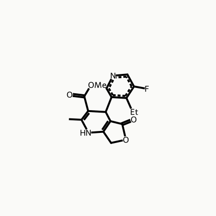 CCc1c(F)cncc1C1C(C(=O)OC)=C(C)NC2=C1C(=O)OC2